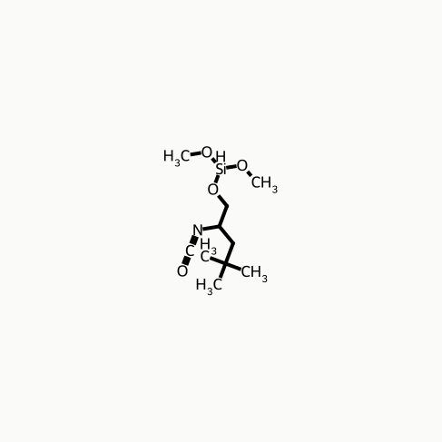 CO[SiH](OC)OCC(CC(C)(C)C)N=C=O